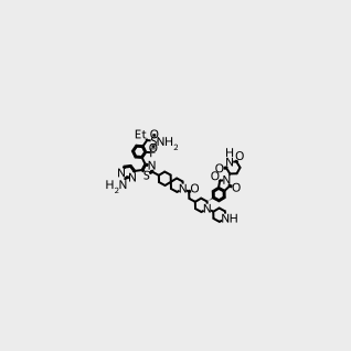 CCC(c1cccc(-c2nc(C3CCC4(CC3)CCN(C(=O)CC3CCN(C5CCNCC5)[C@@H](c5ccc6c(c5)C(=O)N(C5CCC(=O)NC5=O)C6=O)C3)CC4)sc2-c2ccnc(N)n2)c1F)S(N)(=O)=O